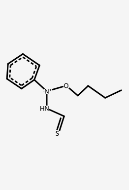 CCCCO[N+](NC=S)c1ccccc1